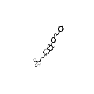 O=C(O)CCCN1CCc2nc(-c3ccc(OCc4ccccc4)cc3)ncc2C1